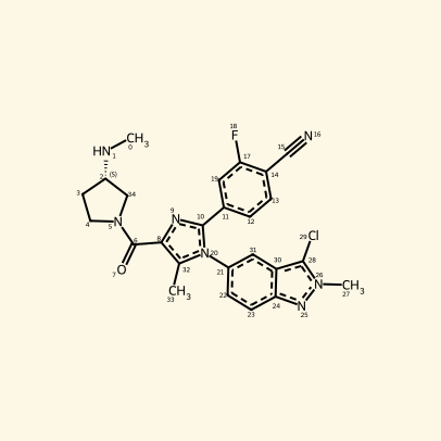 CN[C@H]1CCN(C(=O)c2nc(-c3ccc(C#N)c(F)c3)n(-c3ccc4nn(C)c(Cl)c4c3)c2C)C1